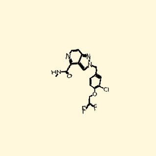 CNC(=O)c1nccc2nn(Cc3ccc(OCC(F)F)c(Cl)c3)cc12